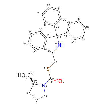 O=C(O)[C@@H]1CCCN1C(=O)SCCNC(c1ccccc1)(c1ccccc1)c1ccccc1